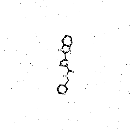 O=C(NCc1cccnc1)c1ccc(-c2nc3ncccc3[nH]2)s1